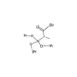 CC(C)O[Si](OC(C)C)(OC(C)C)C(C)C(=O)S